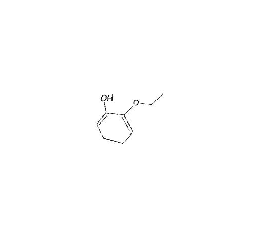 CCOC1=CCCC=C1O